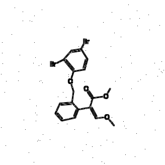 COC=C(C(=O)OC)c1ccccc1COc1ccc(Br)cc1Br